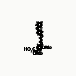 COc1cc(C[C@H](OC)C(=O)O)ccc1OCCCOc1ccc(Oc2ccccc2)cc1